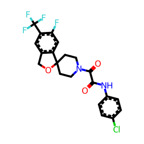 O=C(Nc1ccc(Cl)cc1)C(=O)N1CCC2(CC1)OCc1cc(C(F)(F)F)c(F)cc12